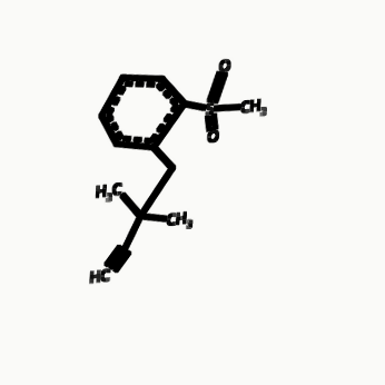 C#CC(C)(C)Cc1ccccc1S(C)(=O)=O